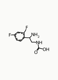 NC(CNC(=O)O)c1ccc(F)cc1F